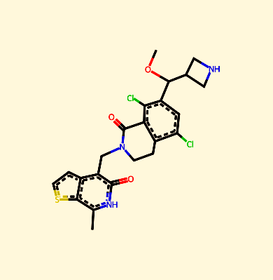 COC(c1cc(Cl)c2c(c1Cl)C(=O)N(Cc1c(=O)[nH]c(C)c3sccc13)CC2)C1CNC1